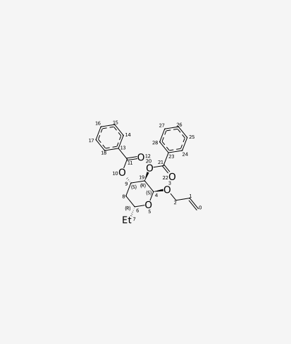 C=CCO[C@H]1O[C@H](CC)C[C@H](OC(=O)c2ccccc2)[C@H]1OC(=O)c1ccccc1